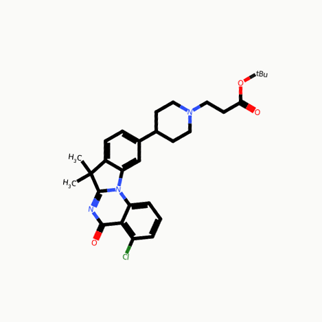 CC(C)(C)OC(=O)CCN1CCC(c2ccc3c(c2)-n2c(nc(=O)c4c(Cl)cccc42)C3(C)C)CC1